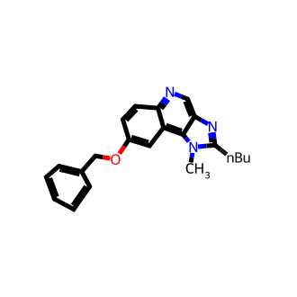 CCCCc1nc2cnc3ccc(OCc4ccccc4)cc3c2n1C